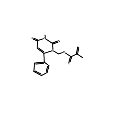 C=C(C)C(=O)OCn1c(-c2ccccc2)cc(=O)[nH]c1=S